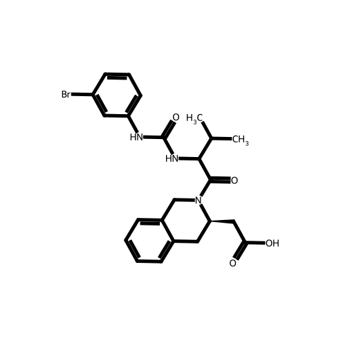 CC(C)C(NC(=O)Nc1cccc(Br)c1)C(=O)N1Cc2ccccc2C[C@@H]1CC(=O)O